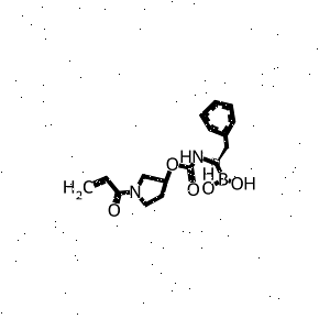 C=CC(=O)N1CCC(OC(=O)N[C@@H](Cc2ccccc2)B(O)O)C1